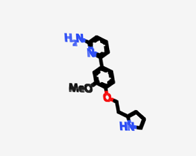 COc1cc(-c2cccc(N)n2)ccc1OCCC1CCCN1